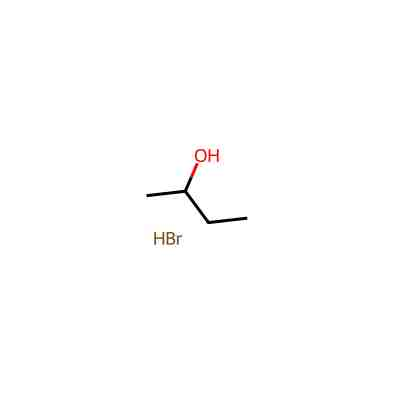 Br.CCC(C)O